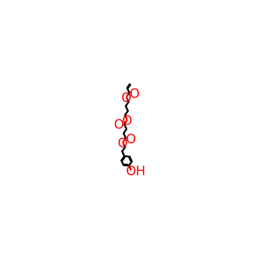 C=CC(=O)OCCCCOC(=O)CCC(=O)OCCc1ccc(O)cc1